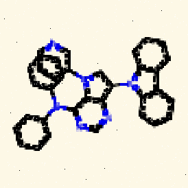 c1ccc(N(c2ccccc2)c2ncnc3c(-n4c5ccccc5c5ccccc54)cn(-c4cccnc4)c23)cc1